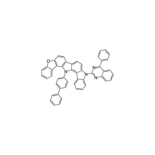 c1ccc(-c2ccc(-n3c4c(ccc5oc6ccccc6c54)c4ccc5c(c6ccccc6n5-c5nc(-c6ccccc6)c6ccccc6n5)c43)cc2)cc1